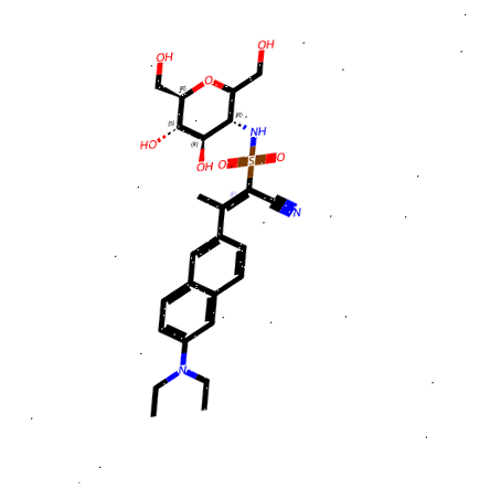 CCN(CC)c1ccc2cc(/C(C)=C(\C#N)S(=O)(=O)N[C@H]3C(CO)O[C@H](CO)[C@@H](O)[C@@H]3O)ccc2c1